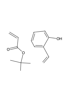 C=CC(=O)OC(C)(C)C.C=Cc1ccccc1O